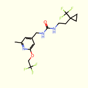 Cc1cc(CNC(=O)NCCC2(C(F)(F)F)CC2)cc(OCC(F)(F)F)n1